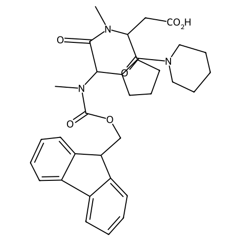 CN(C(=O)C(C1CCCC1)N(C)C(=O)OCC1c2ccccc2-c2ccccc21)C(CC(=O)O)C(=O)N1CCCCC1